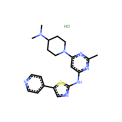 Cc1nc(Nc2ncc(-c3ccncc3)s2)cc(N2CCC(N(C)C)CC2)n1.Cl